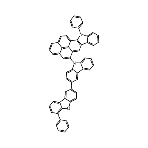 c1ccc(-c2cccc3c2oc2ccc(-c4ccc5c(c4)c4ccccc4n5-c4cc5cccc6ccc7c(c4cc4c8ccccc8n(-c8ccccc8)c47)c65)cc23)cc1